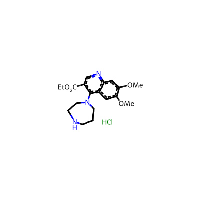 CCOC(=O)c1cnc2cc(OC)c(OC)cc2c1N1CCCNCC1.Cl